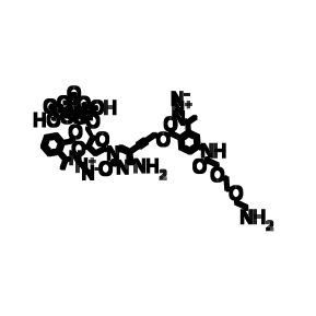 CC(N=[N+]=[N-])c1cc(NC(=O)COCCOCCN)ccc1C(=O)OCC#Cc1cn([C@H]2CC(OC(=O)c3ccccc3C(C)N=[N+]=[N-])[C@@H](COP(=O)(O)OP(=O)(O)OP(=O)(O)O)O2)c(=O)nc1N